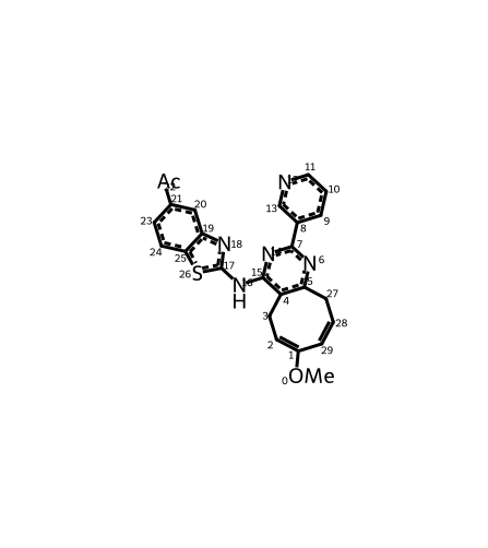 COC1=C/Cc2c(nc(-c3cccnc3)nc2Nc2nc3cc(C(C)=O)ccc3s2)C/C=C\1